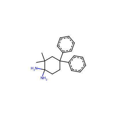 CC1(C)CC(c2ccccc2)(c2ccccc2)CCC1(N)N